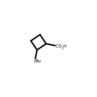 CC(C)(C)C1CCC1C(=O)O